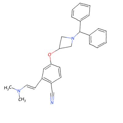 CN(C)/C=C/c1cc(OC2CN(C(c3ccccc3)c3ccccc3)C2)ccc1C#N